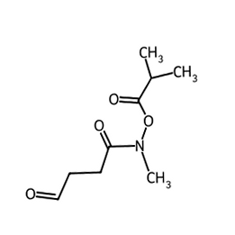 CC(C)C(=O)ON(C)C(=O)CCC=O